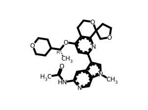 CC(=O)Nc1cc2c(-c3cc(O[C@H](C)C4CCOCC4)c4c(n3)C3(CCOC3)OCC4)cn(C)c2cn1